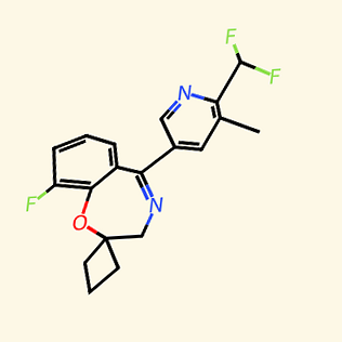 Cc1cc(C2=NCC3(CCC3)Oc3c(F)cccc32)cnc1C(F)F